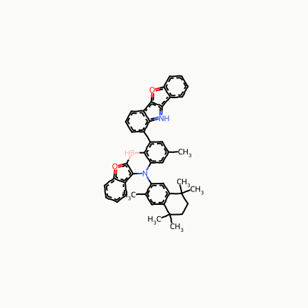 Cc1cc(-c2cccc3c2[nH]c2c4ccccc4oc32)c2c(c1)N(c1cc3c(cc1C)C(C)(C)CCC3(C)C)c1c(oc3ccccc13)B2